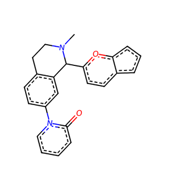 CN1CCc2ccc(-n3ccccc3=O)cc2C1c1ccc2cccc-2o1